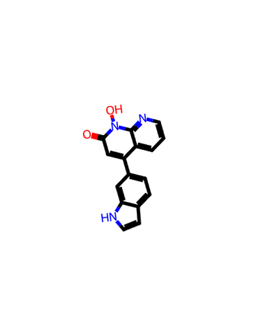 O=c1cc(-c2ccc3cc[nH]c3c2)c2cccnc2n1O